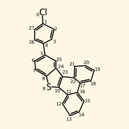 Clc1ccc(-c2ccc3sc4c5ccccc5c5ccccc5c4c3c2)cc1